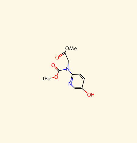 COC(=O)CN(C(=O)OC(C)(C)C)c1ccc(O)cn1